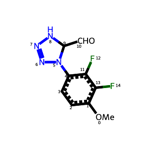 COc1ccc(N2N=NNC2C=O)c(F)c1F